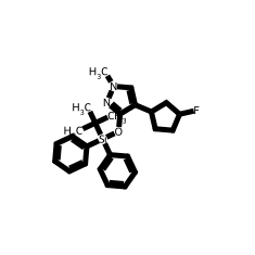 Cn1cc(C2CCC(F)C2)c(O[Si](c2ccccc2)(c2ccccc2)C(C)(C)C)n1